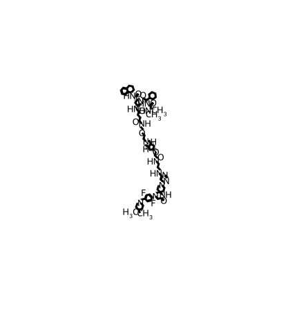 CN[C@@H](C)C(=O)N[C@H](C(=O)N1C[C@@H](NC(=O)CCC(=O)NCCOCCN2C[C@H]3C[C@@H](OCC(=O)NCCCNc4cc(N5CCC6(CC5)CN(c5cc(F)c(CN7CCC(C)(C)CC7)cc5F)CC(=O)N6)ncn4)C[C@H]3C2)C[C@H]1C(=O)NC1CCCc2ccccc21)C1CCCCC1